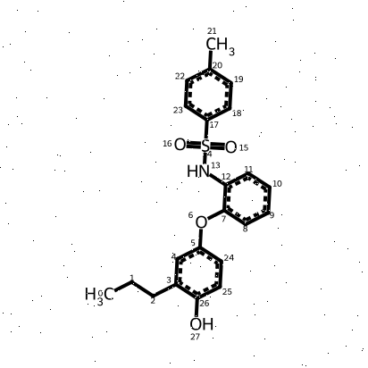 CCCc1cc(Oc2ccccc2NS(=O)(=O)c2ccc(C)cc2)ccc1O